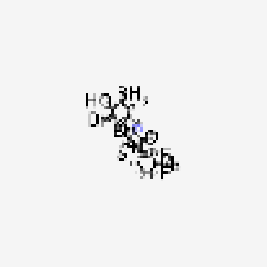 Bc1cc(/C=C2\SC(=S)N(c3cccc(C(F)(F)F)c3)C2=O)c(Br)c(Br)c1O